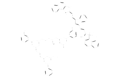 CCC1CC(CC(N)CCCC2CC(CCCC3CC(C)OC(c4cccc(O)c4)O3)OC(c3cccc(O)c3)O2)OC(c2cccc(OC3=C(/C=C/C4=[N+](C)c5ccc6ccccc6c5C4(C)C)c4ccccc4/C3=C\C=C3\N(C)c4ccc5ccccc5c4C3(C)C)c2)O1